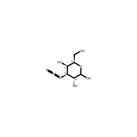 [N-]=[N+]=N[C@H]1[C@@H](O)[C@@H](CO)OC(O)[C@@H]1O